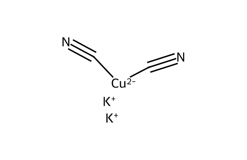 N#[C][Cu-2][C]#N.[K+].[K+]